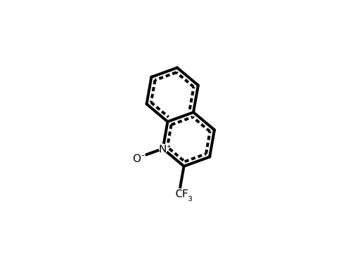 [O-][n+]1c(C(F)(F)F)ccc2ccccc21